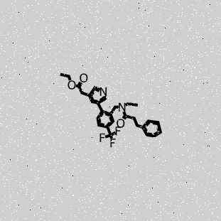 CCOC(=O)Cc1cncc(-c2ccc(C(F)(F)F)cc2CN(CC)C(=O)CCc2ccccc2)c1